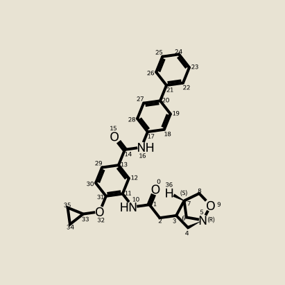 O=C(CC1C[N@@]2C[C@H]1CO2)Nc1cc(C(=O)Nc2ccc(-c3ccccc3)cc2)ccc1OC1CC1